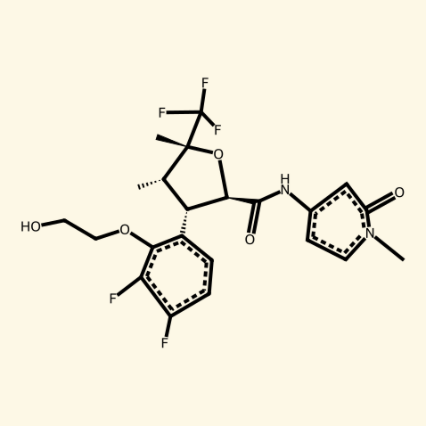 C[C@H]1[C@@H](c2ccc(F)c(F)c2OCCO)[C@H](C(=O)Nc2ccn(C)c(=O)c2)O[C@@]1(C)C(F)(F)F